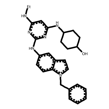 CCNc1cc(NC2CCC(O)CC2)nc(Nc2ccc3c(ccn3Cc3ccccc3)c2)n1